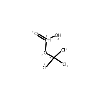 O=[PH](O)OC(Cl)(Cl)Cl